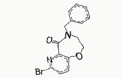 O=C1c2nc(Br)ccc2OCCN1Cc1ccccc1